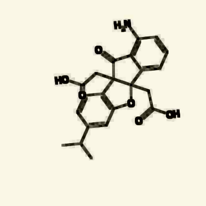 CC(C)c1ccc2c(c1)OC1(CC(=O)O)c3cccc(N)c3C(=O)C21CC(=O)O